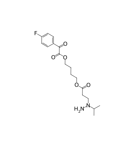 CC(C)N(N)CCC(=O)OCCCCOC(=O)C(=O)c1ccc(F)cc1